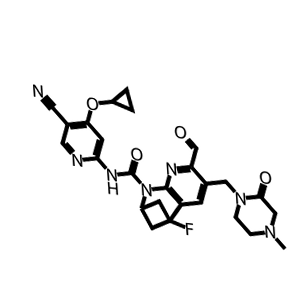 CN1CCN(Cc2cc3c(nc2C=O)N(C(=O)Nc2cc(OC4CC4)c(C#N)cn2)C2CC3(F)C2)C(=O)C1